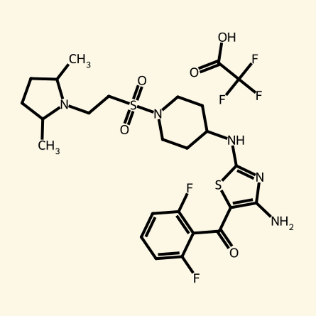 CC1CCC(C)N1CCS(=O)(=O)N1CCC(Nc2nc(N)c(C(=O)c3c(F)cccc3F)s2)CC1.O=C(O)C(F)(F)F